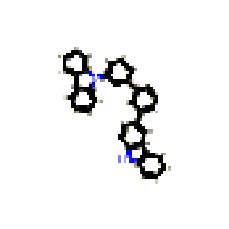 C1=Cc2[nH]c3ccc(-c4cccc(-c5cccc(-n6c7ccccc7c7ccccc76)c5)c4)cc3c2CC1